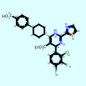 CCOC(=O)C1=C([C@H]2CC[C@H](c3ccc(C(=O)O)cc3)CC2)NC(c2nccs2)=NC1c1ccc(F)c(F)c1Cl